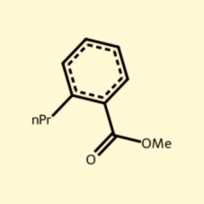 CCCc1ccccc1C(=O)OC